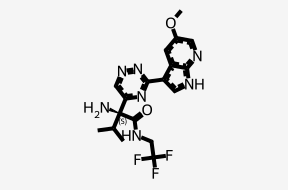 COc1cnc2[nH]cc(-c3nncc([C@](N)(C(=O)NCC(F)(F)F)C(C)C)n3)c2c1